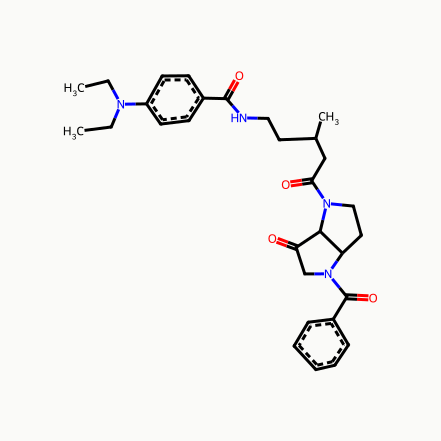 CCN(CC)c1ccc(C(=O)NCCC(C)CC(=O)N2CCC3C2C(=O)CN3C(=O)c2ccccc2)cc1